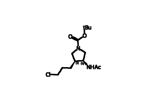 CC(=O)N[C@@H]1CN(C(=O)OC(C)(C)C)C[C@@H]1CCCCl